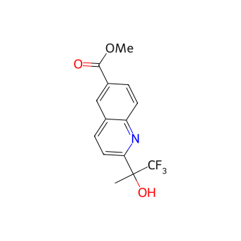 COC(=O)c1ccc2nc(C(C)(O)C(F)(F)F)ccc2c1